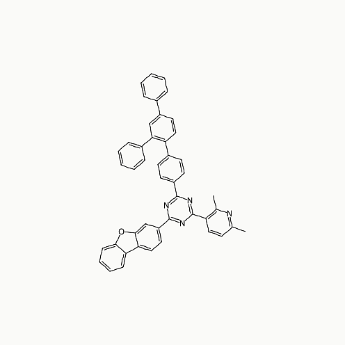 Cc1ccc(-c2nc(-c3ccc(-c4ccc(-c5ccccc5)cc4-c4ccccc4)cc3)nc(-c3ccc4c(c3)oc3ccccc34)n2)c(C)n1